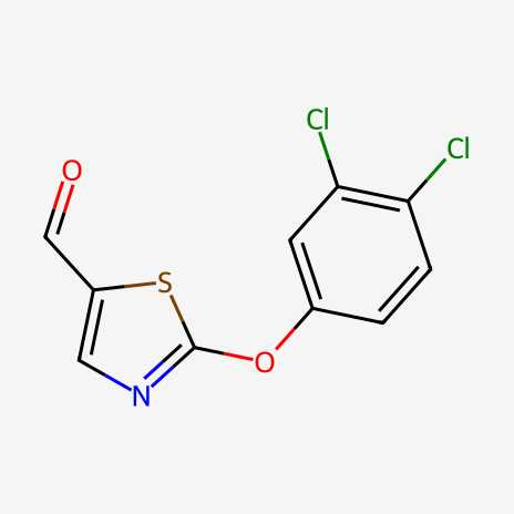 O=Cc1cnc(Oc2ccc(Cl)c(Cl)c2)s1